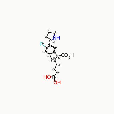 O=C(O)[C@@H]1c2cc([C@@H]3CCCN3)c(F)cc2C[C@@H]1CCCB(O)O